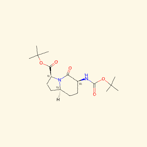 CC(C)(C)OC(=O)N[C@H]1CC[C@H]2CC[C@@H](C(=O)OC(C)(C)C)N2C1=O